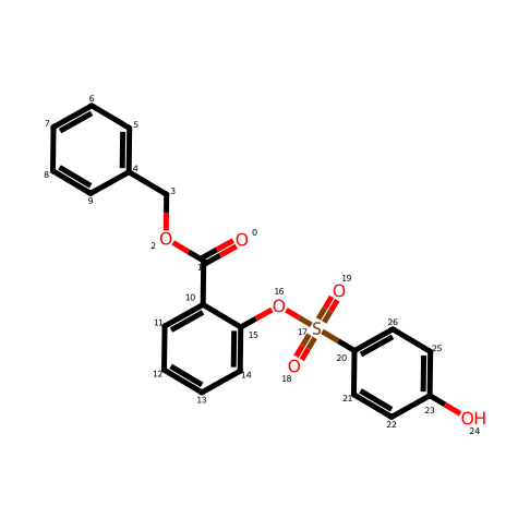 O=C(OCc1ccccc1)c1ccccc1OS(=O)(=O)c1ccc(O)cc1